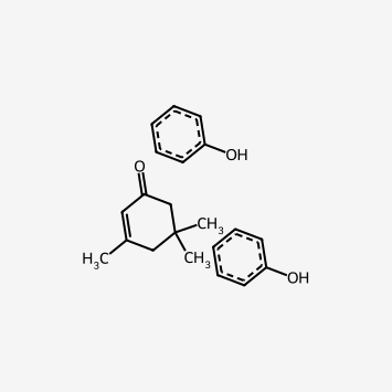 CC1=CC(=O)CC(C)(C)C1.Oc1ccccc1.Oc1ccccc1